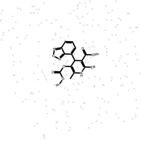 COC(=O)C1=C(C#N)NC(C)=C(OC(=O)OC(C)C)C1c1cccc2nonc12